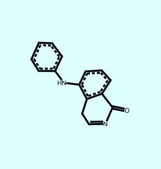 O=C1N=CCc2c(Nc3ccccc3)cccc21